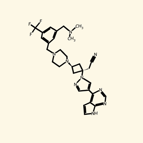 CN(C)Cc1cc(CN2CCN([C@H]3C[C@@](CC#N)(n4cc(-c5ncnc6[nH]ccc56)cn4)C3)CC2)cc(C(F)(F)F)c1